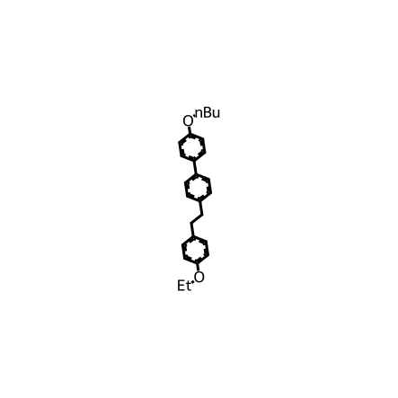 CCCCOc1ccc(-c2ccc(CCc3ccc(OCC)cc3)cc2)cc1